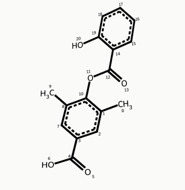 Cc1cc(C(=O)O)cc(C)c1OC(=O)c1ccccc1O